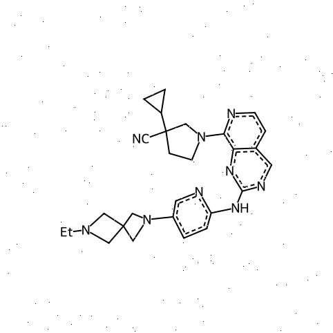 CCN1CC2(C1)CN(c1ccc(Nc3ncc4ccnc(N5CCC(C#N)(C6CC6)C5)c4n3)nc1)C2